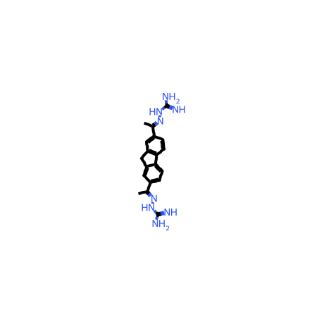 C/C(=N\NC(=N)N)c1ccc2c(c1)Cc1cc(/C(C)=N/NC(=N)N)ccc1-2